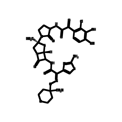 Nc1nc(/C(=N/OC2(C(=O)O)CCOCC2)C(=O)NC2C(=O)N3C[C@@](C(=O)O)(N4CCN(NC(=O)C(=O)c5ccc(O)c(O)c5Cl)C4=O)S[C@H]23)cs1